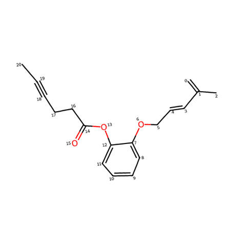 C=C(C)/C=C/COc1ccccc1OC(=O)CCC#CC